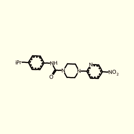 CC(C)c1ccc(NC(=O)N2CCN(c3ccc([N+](=O)[O-])cn3)CC2)cc1